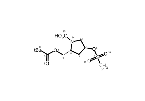 CC(C)(C)C(=O)OC[C@H]1C[C@H](OS(C)(=O)=O)CN1C(=O)O